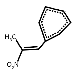 CC(=Cc1cc[c]cc1)[N+](=O)[O-]